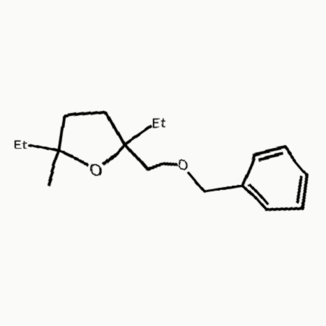 CCC1(C)CCC(CC)(COCc2ccccc2)O1